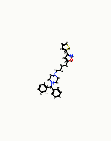 c1ccc(C(c2ccccc2)N2CCN(CCCCc3cc(-c4cccs4)no3)CC2)cc1